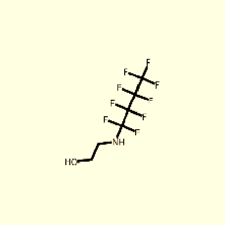 OCCNC(F)(F)C(F)(F)C(F)(F)C(F)(F)F